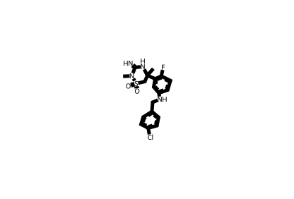 CN1C(=N)NC(C)(c2cc(NCc3ccc(Cl)cc3)ccc2F)CS1(=O)=O